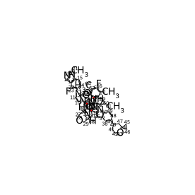 Cc1cc(-n2nc3c(c2-n2ccn(-c4ccc5c(cnn5C)c4F)c2=O)[C@@H]2COC[C@H](C3)N2C(=O)c2cc3cc(C4CCOC5(CC5)C4)ccc3n2[C@@]2(c3noc(=O)[nH]3)C[C@@H]2C)cc(C)c1F